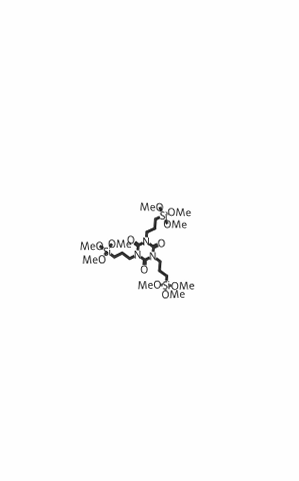 CO[Si](CCCn1c(=O)n(CCC[Si](OC)(OC)OC)c(=O)n(CCC[Si](OC)(OC)OC)c1=O)(OC)OC